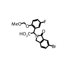 COCOc1ccc(F)cc1C(C(=O)O)N1Cc2ccc(Br)cc2C1=O